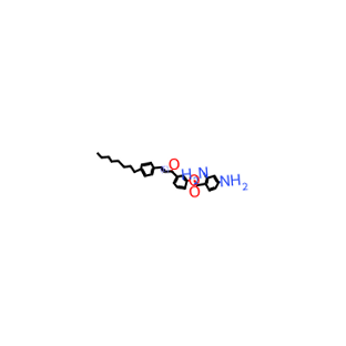 CCCCCCCCc1ccc(/C=C/C(=O)c2cccc(OC(=O)c3ccc(N)cc3N)c2)cc1